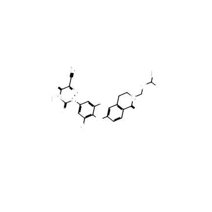 N#Cc1nn(-c2cc(Cl)c(Oc3ccc4c(c3)CCN(COC(F)F)C4=O)c(Cl)c2)c(=O)[nH]c1=O